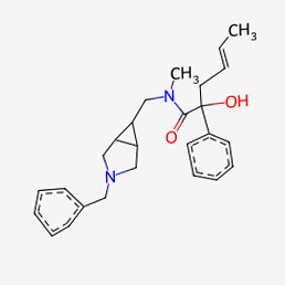 C/C=C/CC(O)(C(=O)N(C)CC1C2CN(Cc3ccccc3)CC21)c1ccccc1